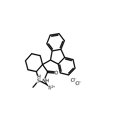 C[SiH](C)C1CCCCC1(C(=O)[NH][Ti+2])C1c2ccccc2-c2ccccc21.[Cl-].[Cl-]